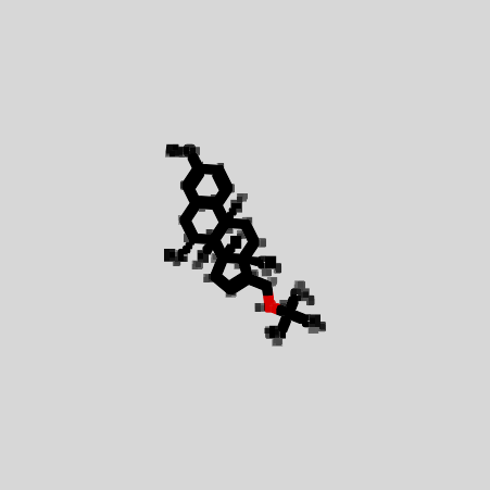 COc1ccc2c(c1)C[C@@H](C)[C@@H]1[C@@H]2CC[C@]2(C)C(CO[Si](C)(C)C(C)(C)C)=CC[C@H]12